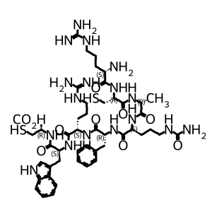 C[C@@H](NC(=O)[C@H](CS)NC(=O)[C@@H](N)CCCNC(=N)N)C(=O)N[C@@H](CCCNC(N)=O)C(=O)N[C@H](Cc1ccccc1)C(=O)N[C@@H](CCCNC(=N)N)C(=O)N[C@@H](Cc1c[nH]c2ccccc12)C(=O)N[C@@H](CS)C(=O)O